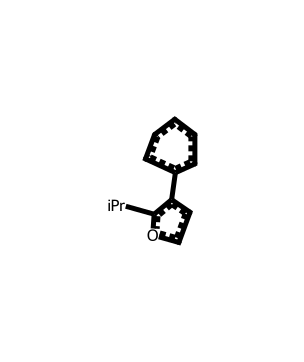 CC(C)c1occc1-c1ccccc1